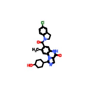 Cc1cc2c(cc1C(=O)N1CCc3cc(Cl)ccc31)[nH]c(=O)c1cnc(C3CCC(O)CC3)n12